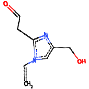 C=Cn1cc(CO)nc1CC=O